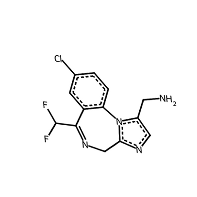 NCc1cnc2n1-c1ccc(Cl)cc1C(C(F)F)=NC2